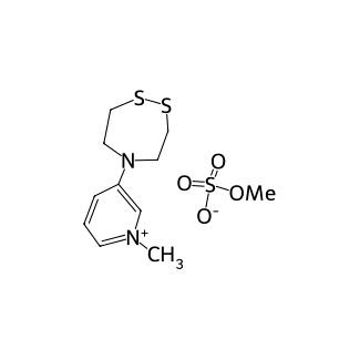 COS(=O)(=O)[O-].C[n+]1cccc(N2CCSSCC2)c1